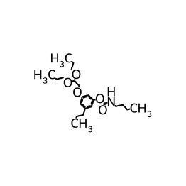 CCCCNC(=O)Oc1cc(CCC)cc(OCC(OCCC)OCCC)c1